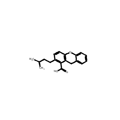 CC(C)CCc1ccc2c(c1C(=O)O)Cc1ccccc1O2